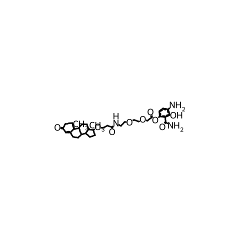 CC12CCC(=O)C=C1CCC1C2CCC2(C)C(OCCC(=O)NCCOCCOCC(=O)Oc3ccc(N)c(O)c3C(N)=O)CCC12